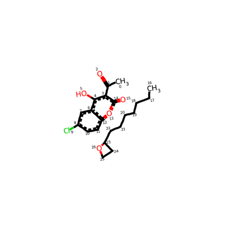 CC(=O)c1c(O)c2cc(Cl)ccc2oc1=O.CCCCCCCC1CCO1